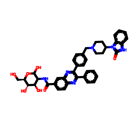 O=C(NC1C(O)O[C@H](CO)[C@@H](O)[C@@H]1O)c1ccc2nc(-c3ccccc3)c(-c3ccc(CN4CCC(n5c(=O)[nH]c6ccccc65)CC4)cc3)nc2c1